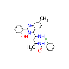 Cc1ccc2c(C(=N)C[C@@H](C)NC(=O)c3ccccc3F)nc(-c3ccccc3O)nc2c1